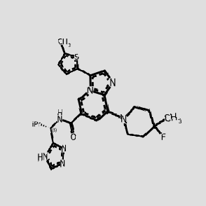 Cc1ccc(-c2cnc3c(N4CCC(C)(F)CC4)cc(C(=O)N[C@H](c4nnc[nH]4)C(C)C)cn23)s1